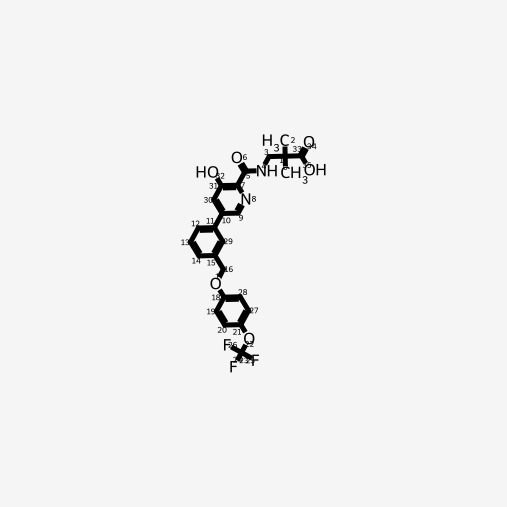 CC(C)(CNC(=O)c1ncc(-c2cccc(COc3ccc(OC(F)(F)F)cc3)c2)cc1O)C(=O)O